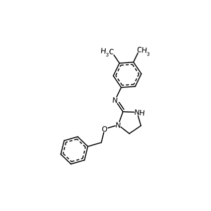 Cc1ccc(/N=C2\NCCN2OCc2ccccc2)cc1C